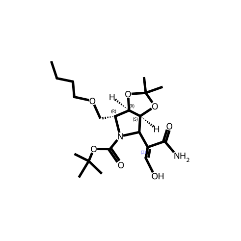 CCCCOC[C@@H]1[C@H]2OC(C)(C)O[C@H]2C(/C(=C/O)C(N)=O)N1C(=O)OC(C)(C)C